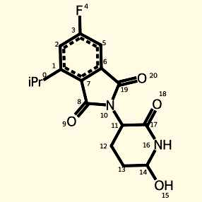 CC(C)c1cc(F)cc2c1C(=O)N(C1CCC(O)NC1=O)C2=O